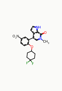 Cn1cc(-c2cc([N+](=O)[O-])ccc2OC2CCC(F)(F)CC2)c2cc[nH]c2c1=O